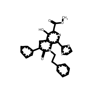 COC(=O)c1nc(-c2nccs2)c2c(cc(-c3ccccc3)c(=O)n2CCc2ccccc2)c1O